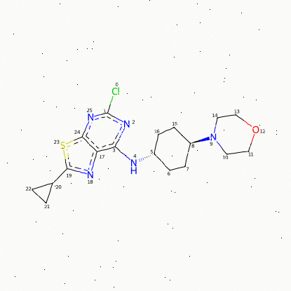 Clc1nc(N[C@H]2CC[C@H](N3CCOCC3)CC2)c2nc(C3CC3)sc2n1